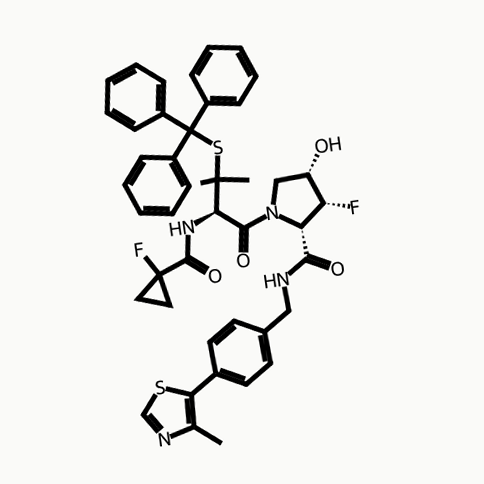 Cc1ncsc1-c1ccc(CNC(=O)[C@H]2[C@@H](F)[C@@H](O)CN2C(=O)[C@@H](NC(=O)C2(F)CC2)C(C)(C)SC(c2ccccc2)(c2ccccc2)c2ccccc2)cc1